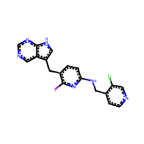 Clc1cnccc1CNc1ccc(Cc2c[nH]c3ncncc23)c(I)n1